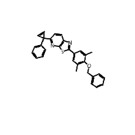 Cc1cc(-c2nc3ccc(C4(c5ccccc5)C=C4)nc3s2)cc(C)c1OCc1ccccc1